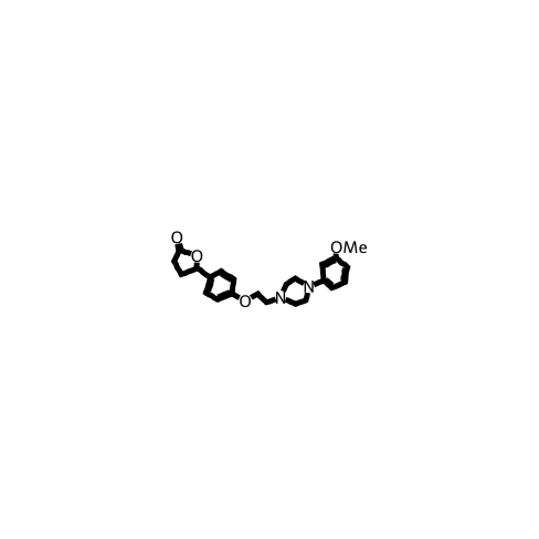 COc1cccc(N2CCN(CCOc3ccc(C4CCC(=O)O4)cc3)CC2)c1